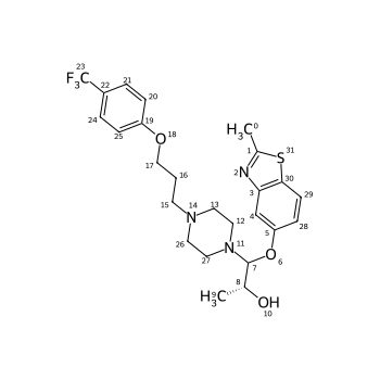 Cc1nc2cc(OC([C@@H](C)O)N3CCN(CCCOc4ccc(C(F)(F)F)cc4)CC3)ccc2s1